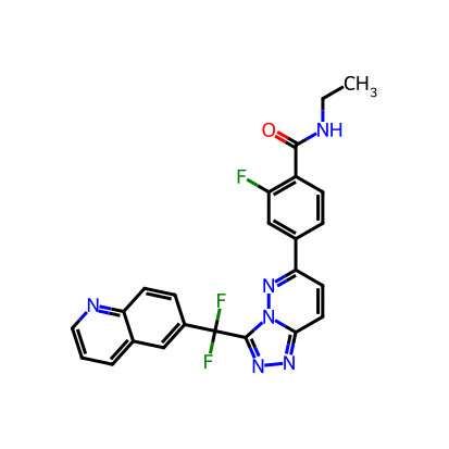 CCNC(=O)c1ccc(-c2ccc3nnc(C(F)(F)c4ccc5ncccc5c4)n3n2)cc1F